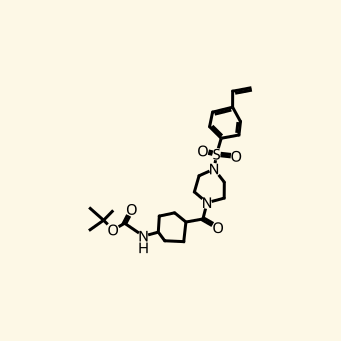 C=Cc1ccc(S(=O)(=O)N2CCN(C(=O)C3CCC(NC(=O)OC(C)(C)C)CC3)CC2)cc1